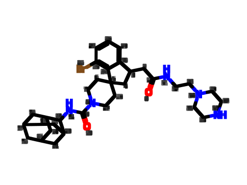 O=C(CC1CC2(CCN(C(=O)NC3C4CC5CC(C4)CC3C5)CC2)c2c(Br)cccc21)NCCN1CCNCC1